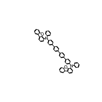 C1=CC2Oc3c(cccc3N(c3ccccc3)c3ccc(-c4ccc(-c5ccc(-c6ccc(N(c7ccccc7)c7cccc8c7oc7ccccc78)cc6)cc5)cc4)cc3)C2C=C1